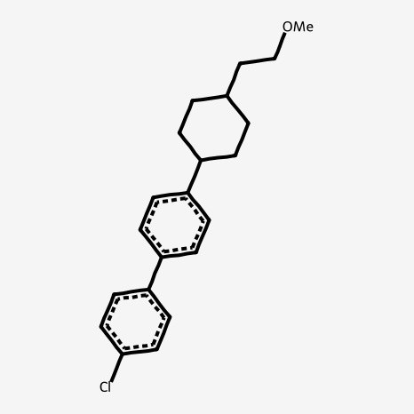 COCCC1CCC(c2ccc(-c3ccc(Cl)cc3)cc2)CC1